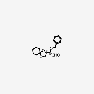 O=C[C@@H](OCc1ccccc1)[C@H]1COC2(CCCCC2)O1